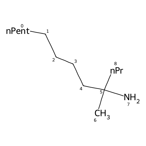 CCCCCCCCCC(C)(N)CCC